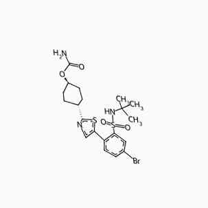 CC(C)(C)NS(=O)(=O)c1cc(Br)ccc1-c1cnc([C@H]2CC[C@H](OC(N)=O)CC2)s1